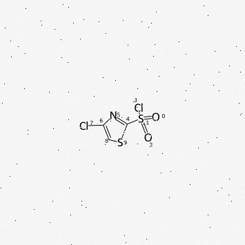 O=S(=O)(Cl)c1nc(Cl)cs1